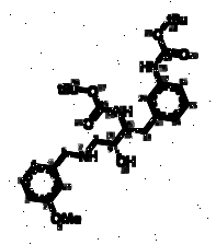 COc1cccc(CNC[C@@H](O)[C@H](Cc2cccc(NC(=O)OC(C)(C)C)c2)NC(=O)OC(C)(C)C)c1